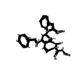 COc1cc2ccccc2n1-c1nc(NCc2ccccc2)c2c(n1)C(=O)N(C(=O)OC(C)(C)C)CC2